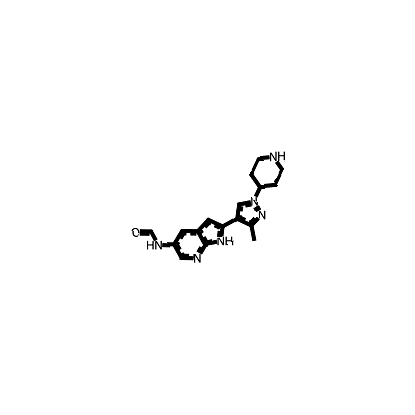 Cc1nn(C2CCNCC2)cc1-c1cc2cc(NC=O)cnc2[nH]1